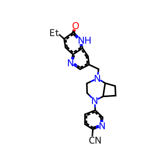 CCc1cc2ncc(CN3CCN(c4ccc(C#N)nc4)C4CCC43)cc2[nH]c1=O